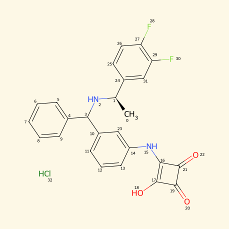 C[C@@H](NC(c1ccccc1)c1cccc(Nc2c(O)c(=O)c2=O)c1)c1ccc(F)c(F)c1.Cl